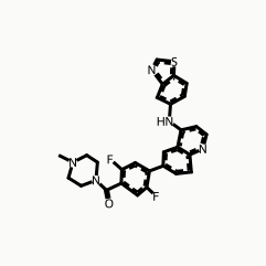 CN1CCN(C(=O)c2cc(F)c(-c3ccc4nccc(Nc5ccc6scnc6c5)c4c3)cc2F)CC1